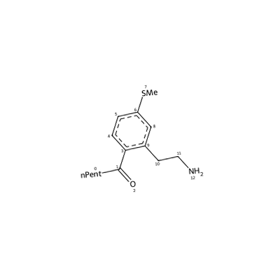 CCCCCC(=O)c1ccc(SC)cc1CCN